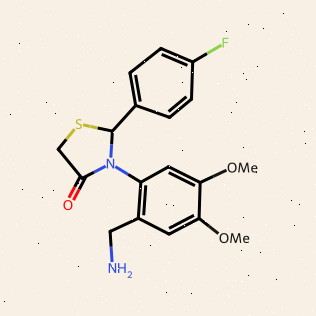 COc1cc(CN)c(N2C(=O)CSC2c2ccc(F)cc2)cc1OC